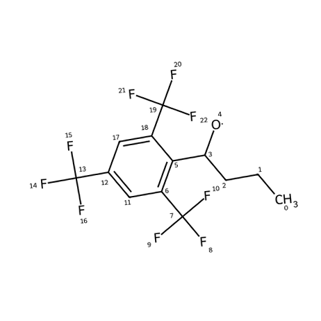 CCCC([O])c1c(C(F)(F)F)cc(C(F)(F)F)cc1C(F)(F)F